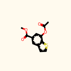 COC(=O)c1cc(OC(C)=O)c2sccc2c1